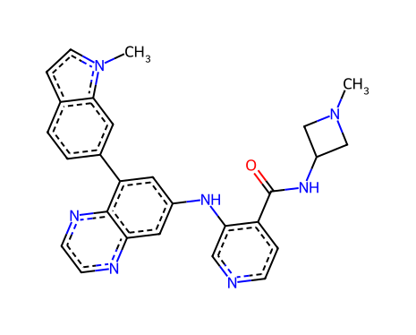 CN1CC(NC(=O)c2ccncc2Nc2cc(-c3ccc4ccn(C)c4c3)c3nccnc3c2)C1